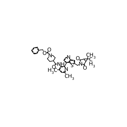 Cc1cc(C)c(NC(=O)C2CCN(C(=O)OCc3ccccc3)CC2)c(-c2ccnc3cc(CN4C(=O)C5C(C4=O)C5(C)C)sc23)n1